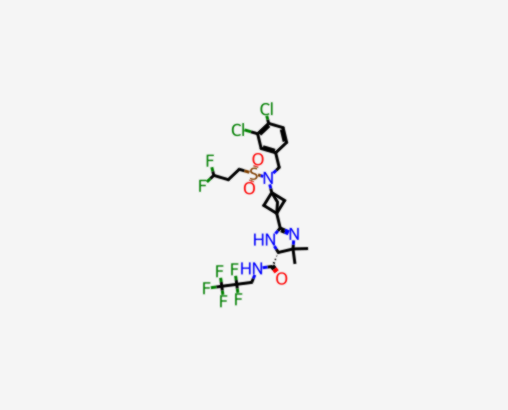 CC1(C)N=C(C23CC(N(Cc4ccc(Cl)c(Cl)c4)S(=O)(=O)CCC(F)F)(C2)C3)N[C@H]1C(=O)NCC(F)(F)C(F)(F)F